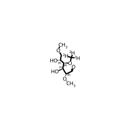 [2H]C([2H])([2H])O[C@@H]([C@H](O)[C@H](C=O)OC)[C@H](O)COC